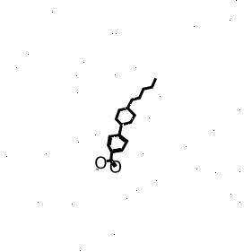 CCCCCC1CCC(c2ccc(C(=O)OC)cc2)CC1